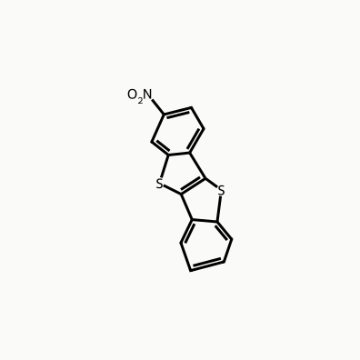 O=[N+]([O-])c1ccc2c(c1)sc1c3ccccc3sc21